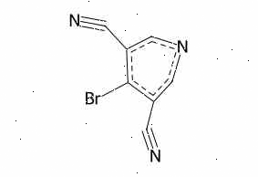 N#Cc1cncc(C#N)c1Br